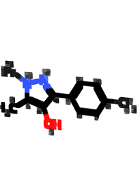 Cc1c(O)c(-c2ccc(C(F)(F)F)cc2)nn1C(C)C